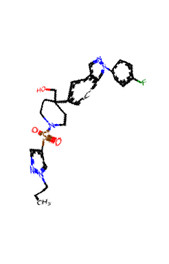 CCCn1cc(S(=O)(=O)N2CCC(CO)(c3ccc4c(cnn4-c4ccc(F)cc4)c3)CC2)cn1